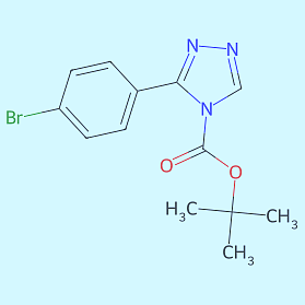 CC(C)(C)OC(=O)n1cnnc1-c1ccc(Br)cc1